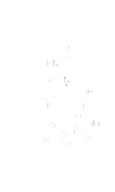 CC(C)[Si]1(C(C)C)OC(C(=O)c2ccccc2)[C@H]2O[C@@H](n3ccc(=O)[nH]c3=O)[C@H](O)[C@H]2O[Si](C(C)C)(C(C)C)O1